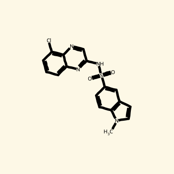 Cn1ccc2cc(S(=O)(=O)Nc3cnc4c(Cl)cccc4n3)ccc21